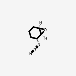 [N-]=[N+]=N[C@@H]1CCC[C@H]2O[C@@H]12